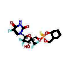 O=c1[nH]c(=O)n([C@@H]2O[C@@](COP3(=S)OCc4ccccc4O3)(C(F)F)[C@H](O)C2(F)F)cc1F